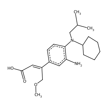 COCC(=CC(=O)O)c1ccc(N(CC(C)C)C2CCCCC2)c(N)c1